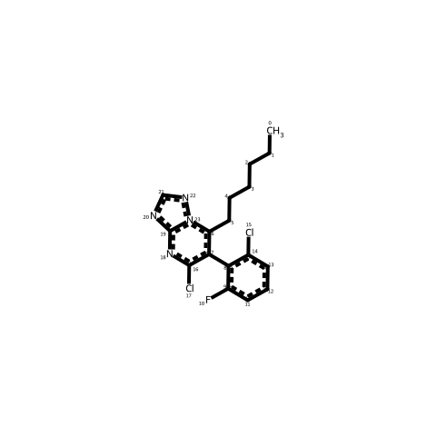 CCCCCCc1c(-c2c(F)cccc2Cl)c(Cl)nc2ncnn12